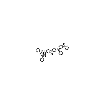 c1ccc(-c2nc(-c3ccccc3)nc(-c3ccc4c(c3)sc3cc(-n5c6ccccc6c6c7c(ccc65)sc5ccccc57)ccc34)n2)cc1